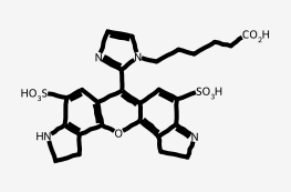 O=C(O)CCCCCn1ccnc1C1=c2cc(S(=O)(=O)O)c3c(c2Oc2c1cc(S(=O)(=O)O)c1c2CCN1)CCN=3